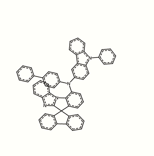 c1ccc(-c2ccc(N(c3ccc4c(c3)c3ccccc3n4-c3ccccc3)c3cccc4c3-n3c(nc5ccccc53)C43c4ccccc4-c4ccccc43)cc2)cc1